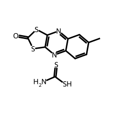 Cc1ccc2nc3sc(=O)sc3nc2c1.NC(=S)S